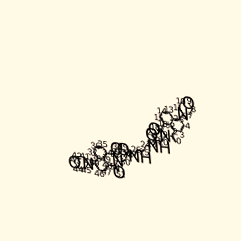 C=c1c2ccc(N3CCOCC3)c3cccc(c(=O)n1CC(=O)NCCCNC(=O)CN1C(=O)c4cccc5c(N6CCOCC6)ccc(c45)C1=O)c32